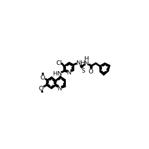 COc1cc2nccc(Nc3ncc(NC(=S)NC(=O)Cc4ccccc4)cc3Cl)c2cc1OC